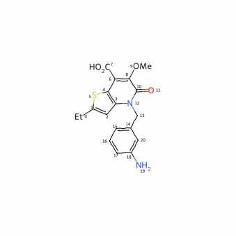 CCc1cc2c(s1)c(C(=O)O)c(OC)c(=O)n2Cc1cccc(N)c1